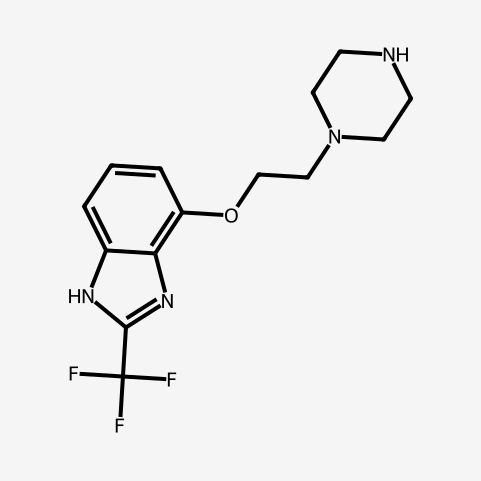 FC(F)(F)c1nc2c(OCCN3CCNCC3)cccc2[nH]1